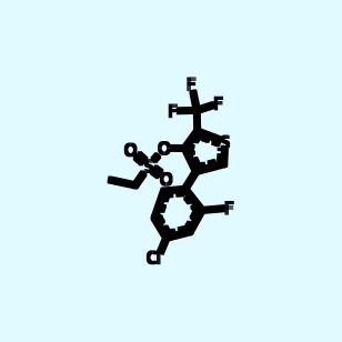 CCS(=O)(=O)Oc1c(-c2ccc(Cl)cc2F)csc1C(F)(F)F